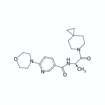 C[C@@H](NC(=O)c1ccc(N2CCOCC2)nc1)C(=O)N1CCC2(CC1)CC2